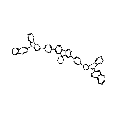 c1ccc2cc(-n3c4ccccc4c4cc(-c5ccc(-c6ccc7c(c6)C6(CCCCC6)c6cc(-c8ccc(-c9ccc%10c(c9)c9ccccc9n%10-c9ccc%10ccccc%10c9)cc8)ccc6-7)cc5)ccc43)ccc2c1